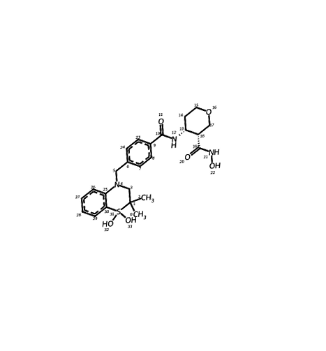 CC1(C)CN(Cc2ccc(C(=O)N[C@@H]3CCOC[C@@H]3C(=O)NO)cc2)c2ccccc2S1(O)O